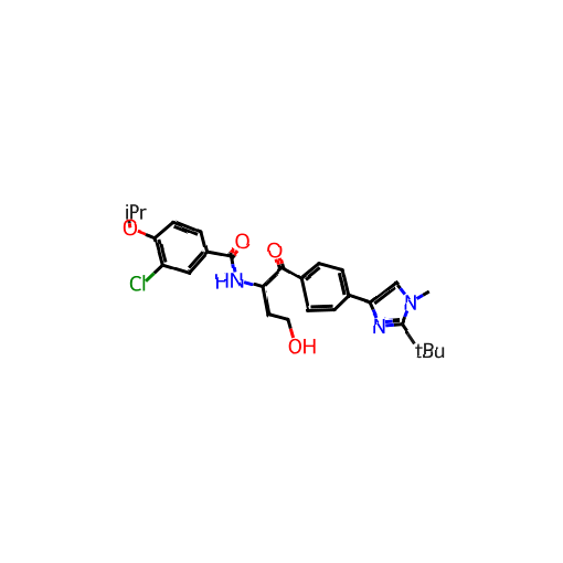 CC(C)Oc1ccc(C(=O)NC(CCO)C(=O)c2ccc(-c3cn(C)c(C(C)(C)C)n3)cc2)cc1Cl